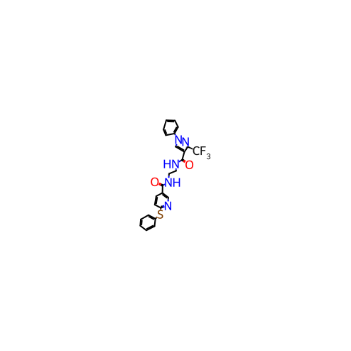 O=C(NCCNC(=O)c1cn(-c2ccccc2)nc1C(F)(F)F)c1ccc(Sc2ccccc2)nc1